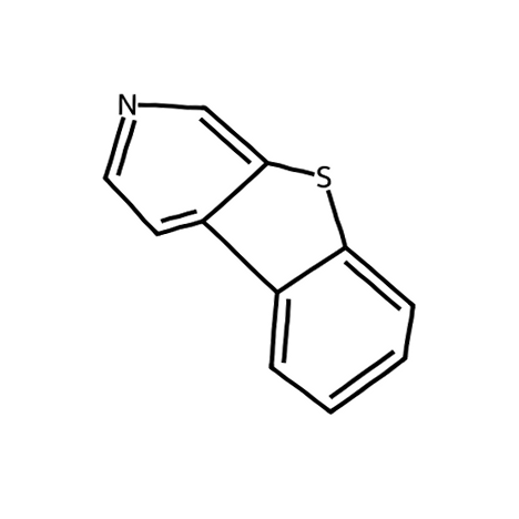 c1ccc2c(c1)sc1cnccc12